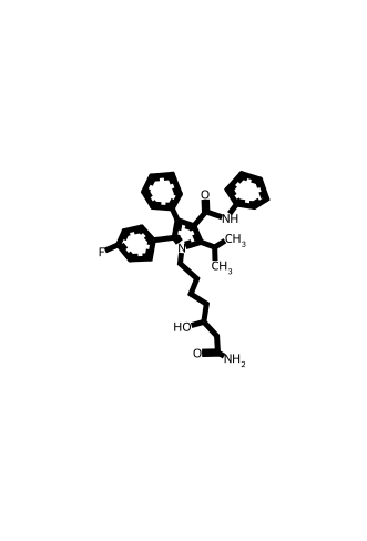 CC(C)c1c(C(=O)Nc2ccccc2)c(-c2ccccc2)c(-c2ccc(F)cc2)n1CCCCC(O)CC(N)=O